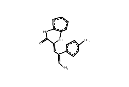 Cc1ccc(C(/C=C2\Nc3ccccc3NC2=O)=N\N)cc1